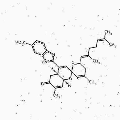 CC(C)=CCC/C(C)=C/[C@@H]1CC(C)=C[C@]2(C=C(c3nc4ccc(C(=O)O)cc4[nH]3)[C@H]3CC(=O)C(C)=C[C@H]3O2)O1